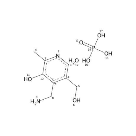 Cc1ncc(CO)c(CN)c1O.O.O=P(O)(O)O